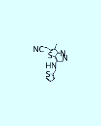 Cc1c(CC#N)sc2c(NCc3cccs3)cnnc12